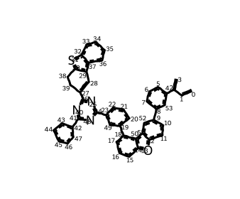 C=CC(=C)c1cccc(-c2ccc3oc4cccc(-c5cccc(-c6nc(C7=Cc8c(sc9ccccc89)CC7)nc(-c7ccccc7)n6)c5)c4c3c2)c1